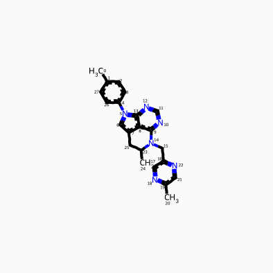 Cc1ccc(-n2cc3c4c(ncnc42)N(Cc2cnc(C)cn2)C(C)C3)cc1